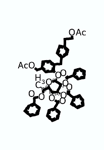 CC(=O)OCCc1ccc(Cc2ccc(COC(C)=O)cc2O[C@@H]2O[C@H]([C@@H](C)OC(=O)c3ccccc3)[C@@H](OC(=O)c3ccccc3)[C@H](OC(=O)c3ccccc3)[C@H]2OC(=O)c2ccccc2)cc1